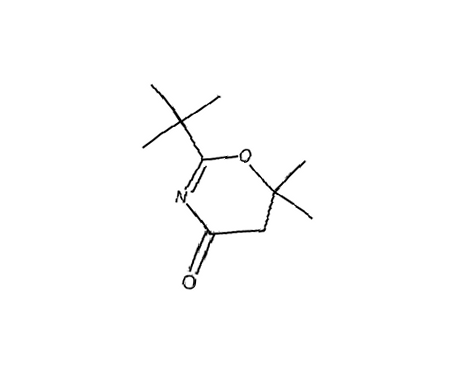 CC1(C)CC(=O)N=C(C(C)(C)C)O1